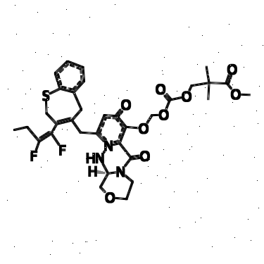 CC/C(F)=C(/F)C1=C(Cc2cc(=O)c(OCOC(=O)OCC(C)(C)C(=O)OC)c3n2N[C@@H]2COCCN2C3=O)Cc2ccccc2SC1